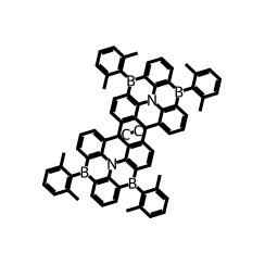 Cc1cccc(C)c1B1c2cccc3c2N2c4c1cccc4C14CCC5(c6cccc7c6N6c8c(cccc8B(c8c(C)cccc8C)c8ccc1c5c86)B7c1c(C)cccc1C)c1ccc(c2c14)B3c1c(C)cccc1C